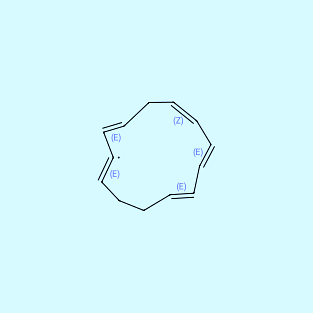 [C]1=C/CC/C=C/C=C/C=C\C/C=C/1